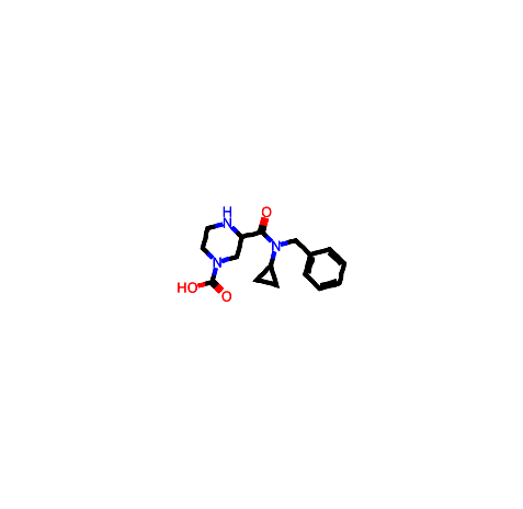 O=C(O)N1CCNC(C(=O)N(Cc2ccccc2)C2CC2)C1